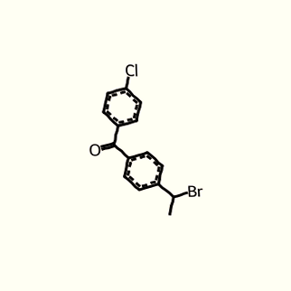 CC(Br)c1ccc(C(=O)c2ccc(Cl)cc2)cc1